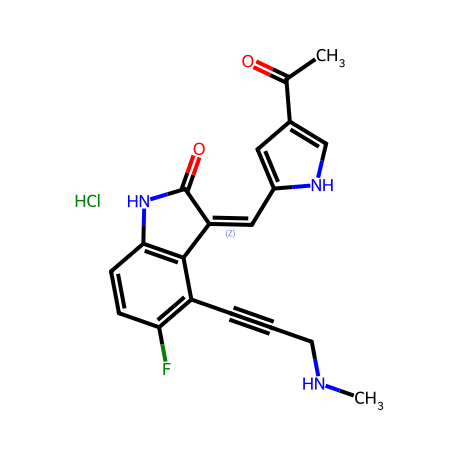 CNCC#Cc1c(F)ccc2c1/C(=C/c1cc(C(C)=O)c[nH]1)C(=O)N2.Cl